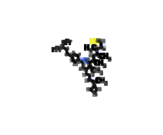 CCCC(CCC)CCc1ccc(CCC(CC/C=C(\C)C2CCC2)[C@H](C)C(=N)/C(C)=C/C(C)=C(C)/C=C\S)cc1